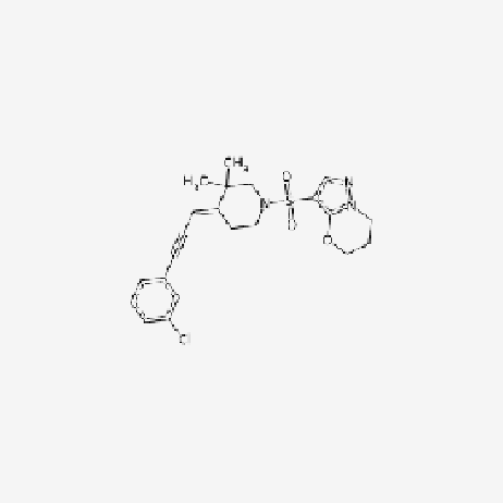 CC1(C)CN(S(=O)(=O)c2cnn3c2OCCC3)CC/C1=C\C#Cc1cccc(Cl)c1